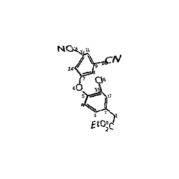 CCOC(=O)Cc1ccc(Oc2cc(C#N)cc(C#N)c2)c(Cl)c1